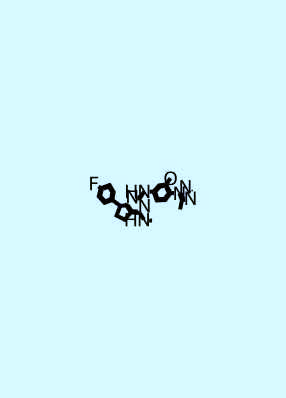 CNc1nc(Nc2ccc(-n3ncnc3C)c(OC)c2)nc2c1CCC2c1ccc(F)cc1